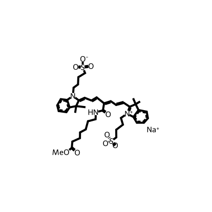 COC(=O)CCCCCCNC(=O)C(=C\C=C\C1=[N+](CCCCS(=O)(=O)[O-])c2ccccc2C1(C)C)/C=C/C=C1/N(CCCCS(=O)(=O)[O-])c2ccccc2C1(C)C.[Na+]